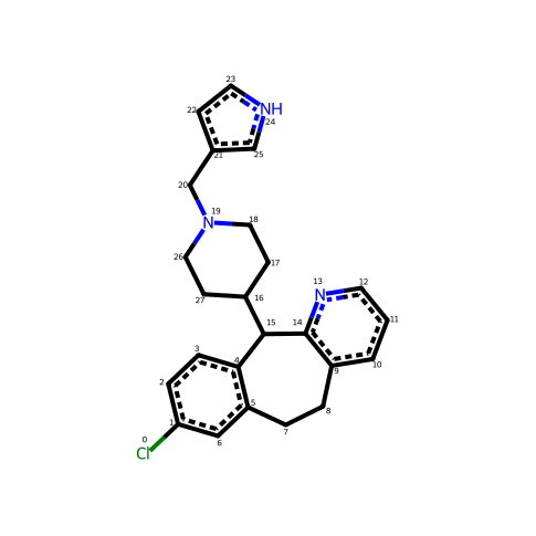 Clc1ccc2c(c1)CCc1cccnc1C2C1CCN(Cc2cc[nH]c2)CC1